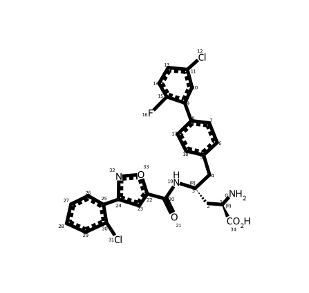 N[C@H](C[C@@H](Cc1ccc(-c2cc(Cl)ccc2F)cc1)NC(=O)c1cc(-c2ccccc2Cl)no1)C(=O)O